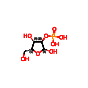 O=P(O)(O)O[C@@H]1[C@@H](O)[C@@H](CO)O[C@H]1O